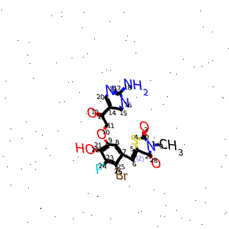 CN1C(=O)S/C(=C\c2cc(OCC(=O)c3cnc(N)nc3)c(O)c(F)c2Br)C1=O